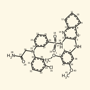 COc1cc(Nc2nc3ccccc3nc2NS(=O)(=O)c2cccc(N(CC(N)=O)c3cccc(Cl)c3)c2)cc(OC)c1